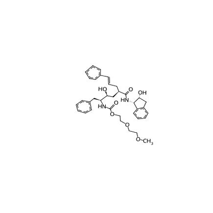 COCCOCCOC(=O)N[C@@H](Cc1ccccc1)[C@@H](O)C[C@@H](CC=Cc1ccccc1)C(=O)N[C@H]1c2ccccc2C[C@H]1O